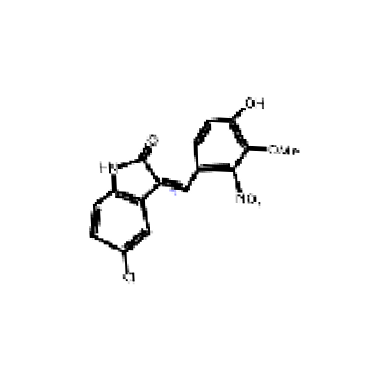 COc1c(O)ccc(/C=C2\C(=O)Nc3ccc(Cl)cc32)c1[N+](=O)[O-]